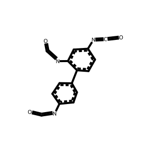 O=C=Nc1ccc(-c2ccc(N=C=O)cc2N=C=O)cc1